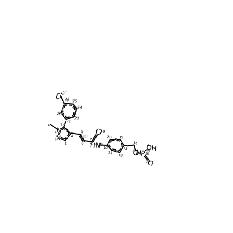 Cn1ncc(/C=C/C(=O)Nc2ccc(CO[PH](=O)O)cc2)c1-c1cccc(Cl)c1